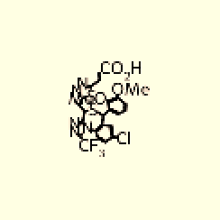 COc1cccc(C2SC(Cc3nnc(CCC(=O)O)s3)c3nnc(C(F)(F)F)n3-c3ccc(Cl)cc32)c1OC